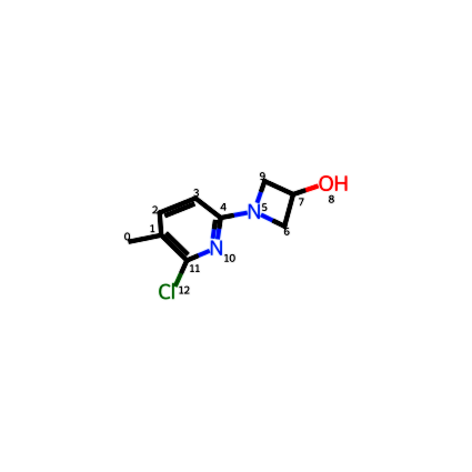 Cc1ccc(N2CC(O)C2)nc1Cl